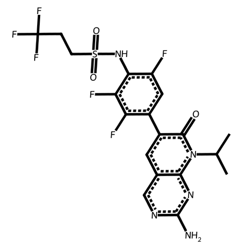 CC(C)n1c(=O)c(-c2cc(F)c(NS(=O)(=O)CCC(F)(F)F)c(F)c2F)cc2cnc(N)nc21